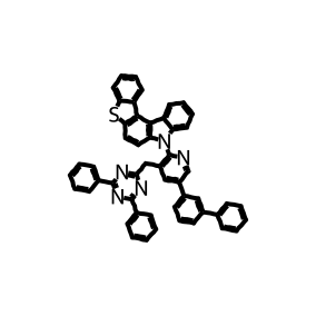 c1ccc(-c2cccc(-c3cnc(-n4c5ccccc5c5c6c(ccc54)sc4ccccc46)c(Cc4nc(-c5ccccc5)nc(-c5ccccc5)n4)c3)c2)cc1